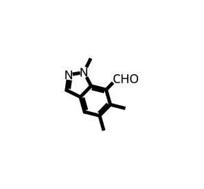 Cc1cc2cnn(C)c2c(C=O)c1C